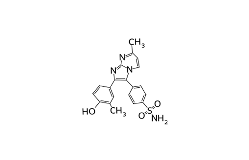 Cc1ccn2c(-c3ccc(S(N)(=O)=O)cc3)c(-c3ccc(O)c(C)c3)nc2n1